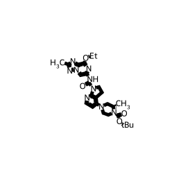 CCOc1nc(NC(=O)N2CCc3c(N4CCN(C(=O)OC(C)(C)C)[C@H](C)C4)ccnc32)cn2nc(C)nc12